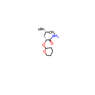 CCCC[C@H](C)C[C@@H](OC1CCCCO1)C(N)=O